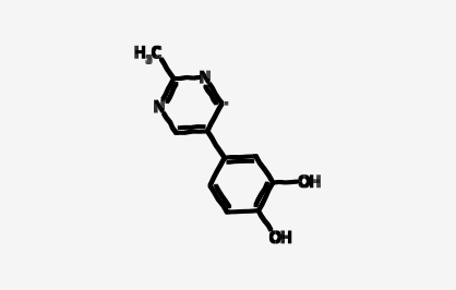 Cc1n[c]c(-c2ccc(O)c(O)c2)cn1